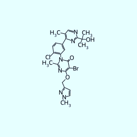 Cc1cnc(C(C)(C)O)nc1-c1ccc(Cl)c(-n2c(C)nc(OCc3ccn(C)n3)c(Br)c2=O)c1